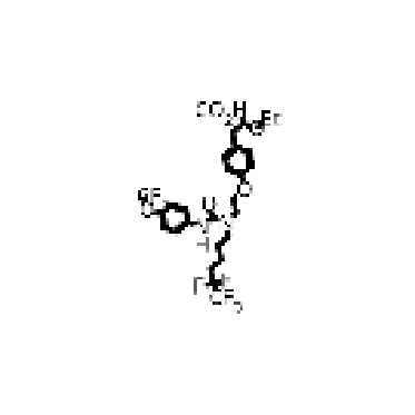 CCOC(Cc1ccc(OCCN(CCCCC(F)(F)C(F)(F)F)C(=O)Nc2ccc(OC(F)(F)F)cc2)cc1)C(=O)O